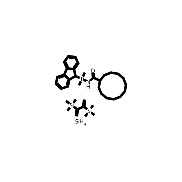 C=C(C(=C)[Si](C)(C)C)[Si](C)(C)C.[CH3][Ti]([CH3])([NH]C(=O)C1CCCCCCCCCCC1)[CH]1c2ccccc2-c2ccccc21.[SiH4]